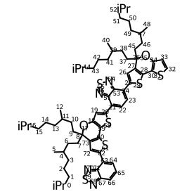 CC(C)CCCC(C)CCC1(CCC(C)CCCC(C)C)Oc2cc(-c3ccc(-c4cc5c(s4)-c4sccc4OC5(CCC(C)CCCC(C)C)CCC(C)CCCC(C)C)c4nsnc34)sc2-c2sc(-c3cccc4nsnc34)cc21